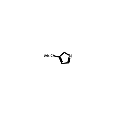 COC1=CC=NC1